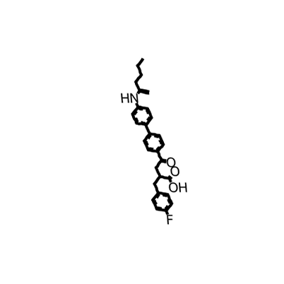 C=C(CCCC)Nc1ccc(-c2ccc(C(=O)CC(Cc3ccc(F)cc3)C(=O)O)cc2)cc1